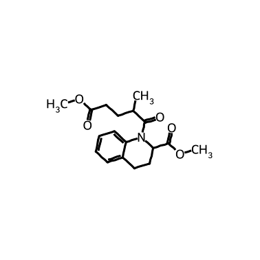 COC(=O)CCC(C)C(=O)N1c2ccccc2CCC1C(=O)OC